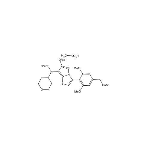 CCCCCN(c1c(OC)nn2c(-c3c(OC)cc(COC)cc3OC)csc12)C1CCOCC1.CS(=O)(=O)O